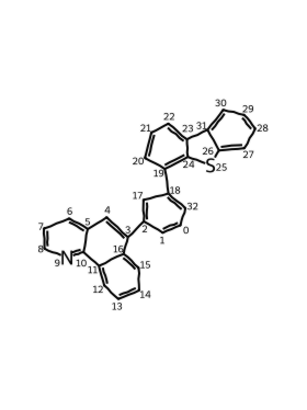 c1cc(-c2cc3cccnc3c3ccccc23)cc(-c2cccc3c2sc2ccccc23)c1